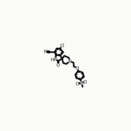 CS(=O)(=O)c1ccc(OCCN2CCC3(CC2)C(=O)Nc2c(C#N)cc(Cl)cc23)cc1